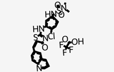 CN(C)S(=O)(=O)Nc1ccc(Cl)c(NC2=NC(=O)C(=Cc3ccc4ncccc4c3)S2)c1.O=C(O)C(F)(F)F